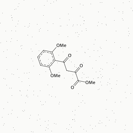 COC(=O)C(=O)CC(=O)c1c(OC)cccc1OC